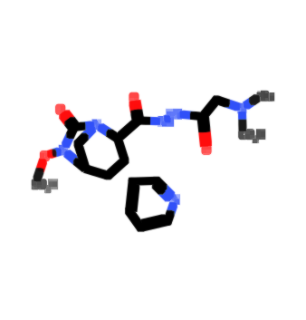 CC(C)(C)N(CC(=O)NNC(=O)C1CCC2CN1C(=O)N2OS(=O)(=O)O)C(=O)O.c1ccncc1